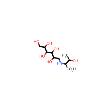 C[C@@H](O)[C@H](NCC(O)C(O)C(O)C(O)CO)C(=O)O